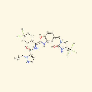 CCn1nccc1C(=O)N[C@H](c1nc2cc(CN3C[C@@H](C(F)(F)F)NC3=O)ccc2o1)C1CCC(F)(F)CC1